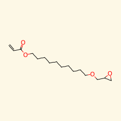 C=CC(=O)OCCCCCCCCCCOCC1CO1